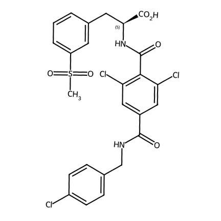 CS(=O)(=O)c1cccc(C[C@H](NC(=O)c2c(Cl)cc(C(=O)NCc3ccc(Cl)cc3)cc2Cl)C(=O)O)c1